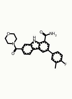 Cc1cc(-c2cc(C(N)=O)c3[nH]c4cc(C(=O)N5CCOCC5)ccc4c3c2)ccc1F